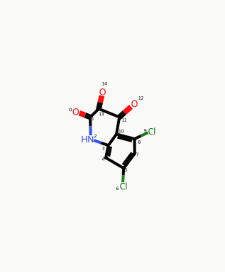 O=C1Nc2cc(Cl)cc(Cl)c2C(=O)C1=O